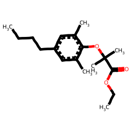 CCCCc1cc(C)c(OC(C)(C)C(=O)OCC)c(C)c1